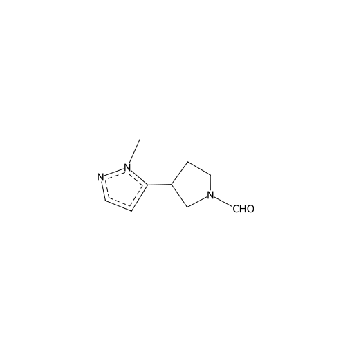 Cn1nccc1C1CCN(C=O)C1